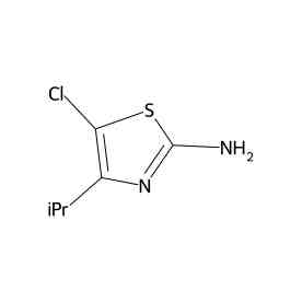 CC(C)c1nc(N)sc1Cl